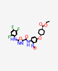 CCOC(=O)[C@H]1CC[C@H](Oc2ccc(NC(=O)c3nnc(Nc4cc(F)c(F)cc4F)o3)c(N=O)c2)CC1